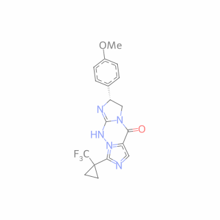 COc1ccc([C@@H]2CN3C(=O)c4cnc(C5(C(F)(F)F)CC5)n4NC3=N2)cc1